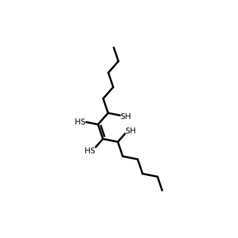 CCCCCC(S)/C(S)=C(/S)C(S)CCCCC